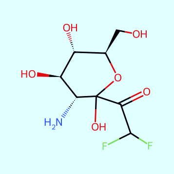 N[C@@H]1[C@@H](O)[C@H](O)[C@@H](CO)OC1(O)C(=O)C(F)F